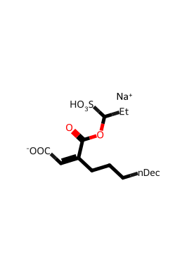 CCCCCCCCCCCCCC(=CC(=O)[O-])C(=O)OC(CC)S(=O)(=O)O.[Na+]